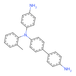 Cc1ccccc1N(c1ccc(N)cc1)c1ccc(-c2ccc(N)cc2)cc1